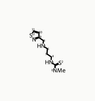 CNC(=S)NCCCNCc1ccsn1